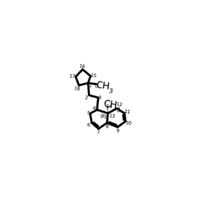 CC1(CCC2CC=CC3=CC=CC[C@@]32C)CCCC1